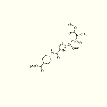 COC(=O)[C@H]1CC[C@H](NC(=O)c2csc([C@@H](C[C@H](C(C)C)N(C)C(=O)OC(C)(C)C)OC(C)=O)n2)CC1